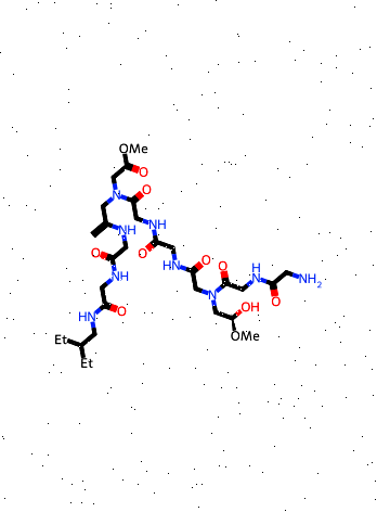 C=C(CN(CC(=O)OC)C(=O)CNC(=O)CNC(=O)CN(C[C@@H](O)OC)C(=O)CNC(=O)CN)NCC(=O)NCC(=O)NCC(CC)CC